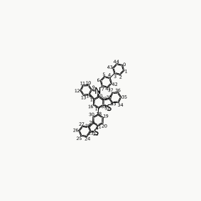 c1ccc(-c2ccc(-n3c4ccccc4c4cc(-c5ccc6sc7ccccc7c6c5)c5sc6ccccc6c5c43)cc2)cc1